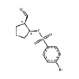 O=C[C@@H]1CCC[C@@H]1OS(=O)(=O)c1ccc(Br)cc1